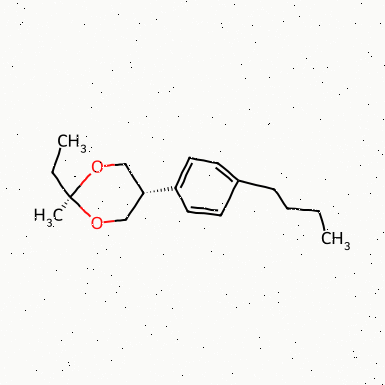 CCCCc1ccc([C@H]2CO[C@](C)(CC)OC2)cc1